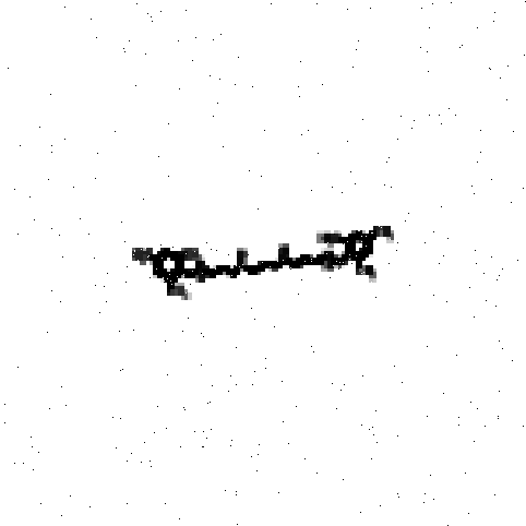 Cc1cc(C)c(CNCCCNCCCNCCCNCc2c(C)cc(C)cc2C)c(C)c1